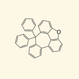 c1ccc(C2(c3ccccc3)c3ccccc3-c3cccc4oc5cccc2c5c34)cc1